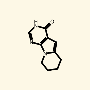 O=c1[nH]cnc2c1cc1n2CCCC1